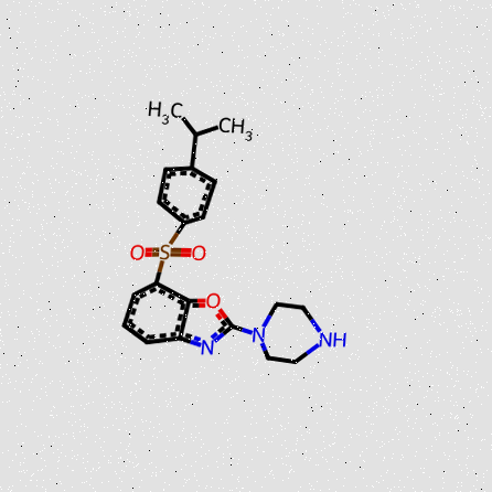 CC(C)c1ccc(S(=O)(=O)c2cccc3nc(N4CCNCC4)oc23)cc1